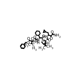 CC(C)[C@](C)(NC(=O)N[C@H](C(=O)N1CC2[C@@H]([C@H]1C(=O)NC(CC1CC1)C(=O)C(N)=O)C2(C)C)C1CCCCC1)C(=O)OCc1ccccc1